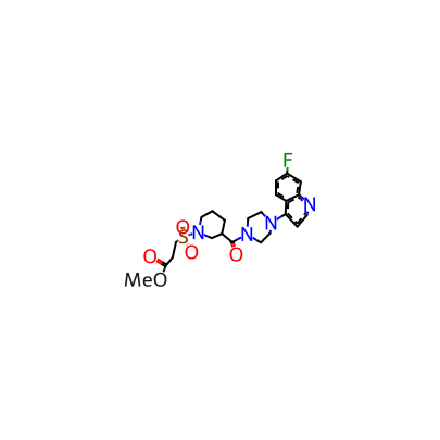 COC(=O)CCS(=O)(=O)N1CCCC(C(=O)N2CCN(c3ccnc4cc(F)ccc34)CC2)C1